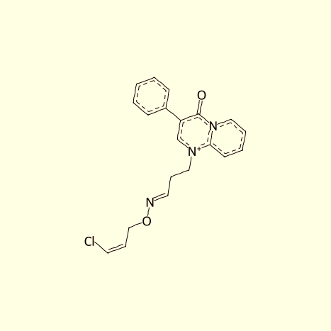 O=c1c(-c2ccccc2)c[n+](CCC=NOC/C=C\Cl)c2ccccn12